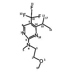 COCCN(C)c1ncc(C(F)(F)F)c(C(C)C)n1